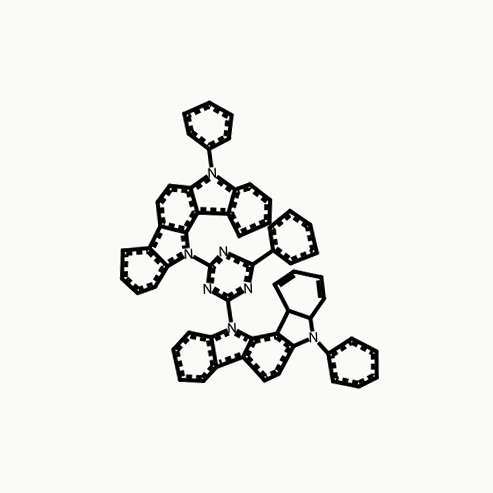 C1=CC2c3c(ccc4c5ccccc5n(-c5nc(-c6ccccc6)nc(-n6c7ccccc7c7ccc8c(c9ccccc9n8-c8ccccc8)c76)n5)c34)N(c3ccccc3)C2C=C1